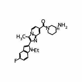 CCn1c(-c2nc3cc(C(=O)N4CCC[C@@H](N)C4)ccn3c2C)cc2cc(F)ccc21